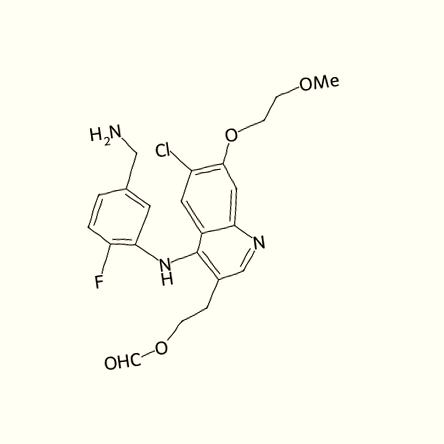 COCCOc1cc2ncc(CCOC=O)c(Nc3cc(CN)ccc3F)c2cc1Cl